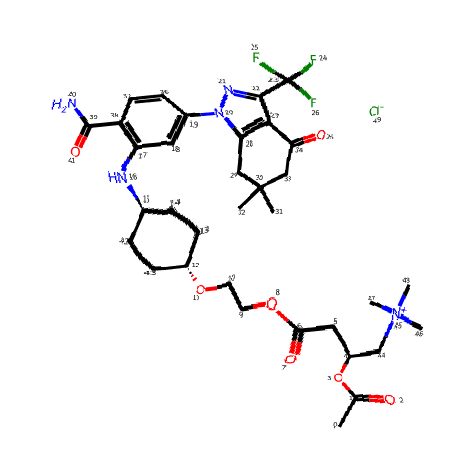 CC(=O)OC(CC(=O)OCCO[C@H]1CC[C@H](Nc2cc(-n3nc(C(F)(F)F)c4c3CC(C)(C)CC4=O)ccc2C(N)=O)CC1)C[N+](C)(C)C.[Cl-]